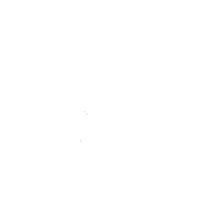 CCCCc1ccc(N(CC#N)C(=O)CCC(=O)OCC)cc1